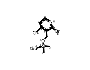 CC(C)(C)[Si](C)(C)OCc1c(Cl)ccnc1Br